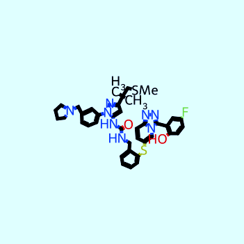 CSCC(C)(C)c1cc(NC(=O)NCc2ccccc2Sc2ccc3nnc(-c4cc(F)ccc4O)n3c2)n(-c2cccc(CN3CCCC3)c2)n1